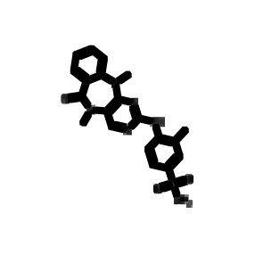 Cc1cc(S(N)(=O)=O)ccc1Nc1ncc2c(n1)N(C)c1ccccc1C(=O)N2C